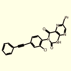 CC(C)c1cnc2[nH]c(=O)n(-c3ccc(C#Cc4ccccc4)cc3Cl)c(=O)c2n1